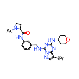 CC(=O)N1CCC1C(=O)Nc1cccc(CNc2nc(NC3CCOCC3)nc3c(C(C)C)cnn23)c1